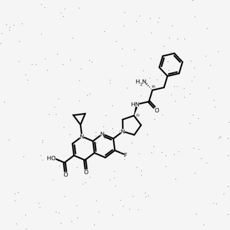 N[C@H](Cc1ccccc1)C(=O)N[C@H]1CCN(c2nc3c(cc2F)c(=O)c(C(=O)O)cn3C2CC2)C1